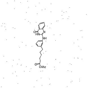 COC(=O)CCCCCc1cccc(Nc2nc3ccccc3c(=O)[nH]2)c1